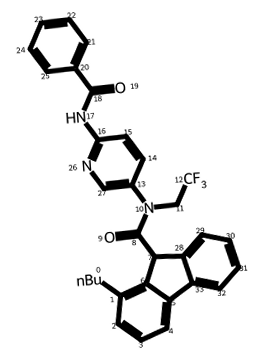 CCCCc1cccc2c1C(C(=O)N(CC(F)(F)F)c1ccc(NC(=O)c3ccccc3)nc1)c1ccccc1-2